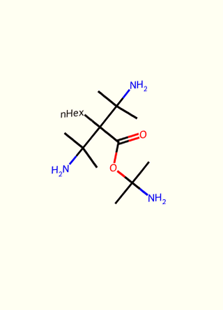 CCCCCCC(C(=O)OC(C)(C)N)(C(C)(C)N)C(C)(C)N